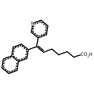 O=C(O)CCCCC=C(c1cccnc1)c1ccc2ccccc2c1